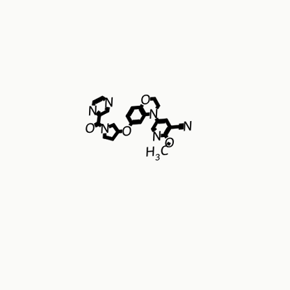 COc1ncc(N2CCOc3ccc(OC4CCN(C(=O)c5cnccn5)C4)cc32)cc1C#N